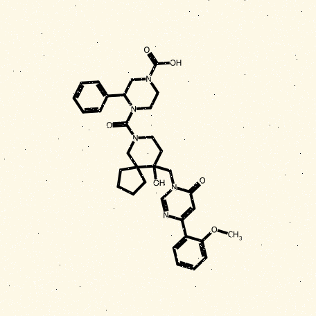 COc1ccccc1-c1cc(=O)n(CC2(O)CCN(C(=O)N3CCN(C(=O)O)CC3c3ccccc3)CC23CCCC3)cn1